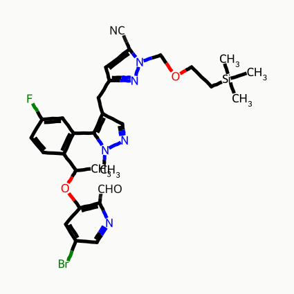 CC(Oc1cc(Br)cnc1C=O)c1ccc(F)cc1-c1c(Cc2cc(C#N)n(COCC[Si](C)(C)C)n2)cnn1C